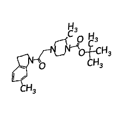 Cc1ccc2c(c1)N(C(=O)CN1CCN(C(=O)OC(C)(C)C)[C@H](C)C1)CC2